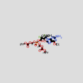 CCOc1nc(N)nc2c1ncn2[C@](C)(F)[C@H](O)C(F)(COP(=O)(OCOC(=O)OC(C)C)OCOC(=O)OC(C)C)OC